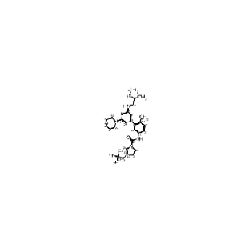 COC(C)CNc1cc(-c2cc(NC(=O)N3CC[C@@H](CC(F)(F)F)C3)ccc2C)cc(N2CCOCC2)n1